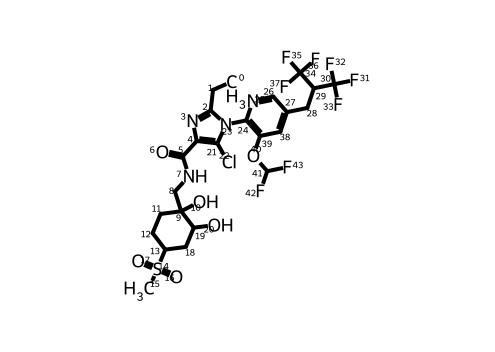 CCc1nc(C(=O)NCC2(O)CCC(S(C)(=O)=O)CC2O)c(Cl)n1-c1ncc(CC(C(F)(F)F)C(F)(F)F)cc1OC(F)F